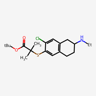 CCNC1CCc2cc(SC(C)(C)C(=O)OC(C)(C)C)c(Cl)cc2C1